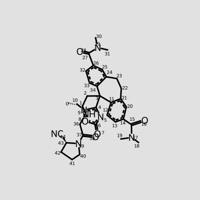 C[C@H](CC1(c2nc(=O)on2C)c2ccc(C(=O)N(C)C)cc2CCc2cc(C(=O)N(C)C)ccc21)NCC(=O)N1CCC[C@H]1C#N